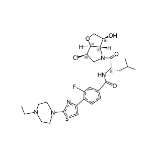 CCN1CCN(c2nc(-c3ccc(C(=O)N[C@@H](CC(C)C)C(=O)N4C[C@@H](Cl)[C@H]5OC[C@@H](O)[C@@H]54)cc3F)cs2)CC1